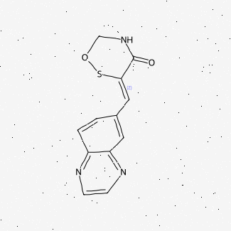 O=C1NCOS/C1=C\c1ccc2nccnc2c1